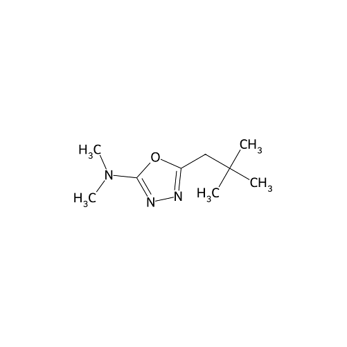 CN(C)c1nnc(CC(C)(C)C)o1